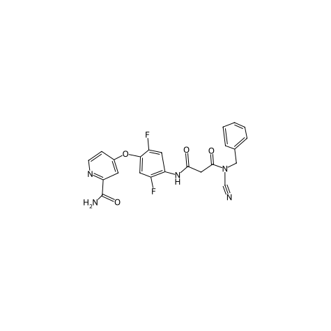 N#CN(Cc1ccccc1)C(=O)CC(=O)Nc1cc(F)c(Oc2ccnc(C(N)=O)c2)cc1F